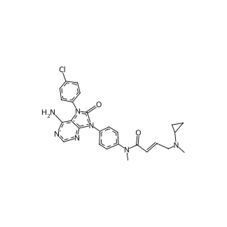 CN(C(=O)C=CCN(C)C1CC1)c1ccc(-n2c(=O)n(-c3ccc(Cl)cc3)c3c(N)ncnc32)cc1